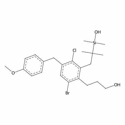 COc1ccc(Cc2cc(Br)c(CCCO)c(CC(C)(C)[Si](C)(C)O)c2Cl)cc1